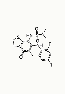 Cc1c(Nc2ccc(I)cc2F)c(NS(=O)(=O)N(C)C)c2n(c1=O)CCS2